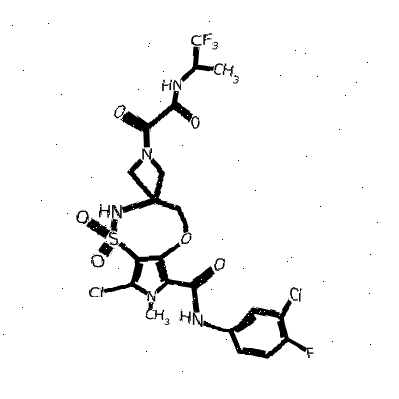 CC(NC(=O)C(=O)N1CC2(COc3c(c(Cl)n(C)c3C(=O)Nc3ccc(F)c(Cl)c3)S(=O)(=O)N2)C1)C(F)(F)F